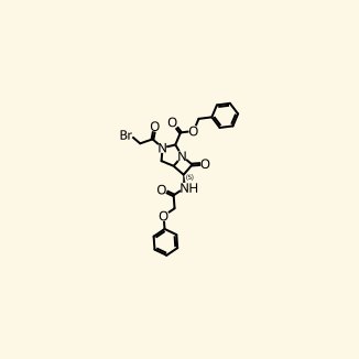 O=C(COc1ccccc1)N[C@@H]1C(=O)N2C1CN(C(=O)CBr)C2C(=O)OCc1ccccc1